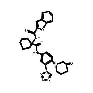 O=C1CCCN(c2ccc(NC(=O)C3(NC(=O)c4cc5ccccc5o4)CCCCC3)cc2-n2cnnn2)C1